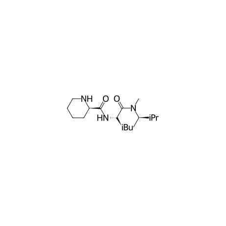 CC[C@H](C)[C@H](NC(=O)[C@H]1CCCCN1)C(=O)N(C)[C@H](C)C(C)C